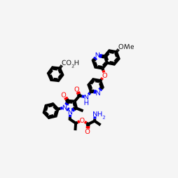 COc1ccc2c(Oc3ccc(NC(=O)c4c(C)n(CC(C)OC(=O)C(C)N)n(-c5ccccc5)c4=O)nc3)ccnc2c1.O=C(O)c1ccccc1